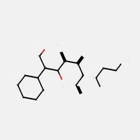 C=C[C@H](C(=C)C(=C)C(O)C(CO)C1CCCCC1)C(C)CCC